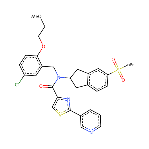 CCCS(=O)(=O)c1ccc2c(c1)CC(N(Cc1cc(Cl)ccc1OCCOC)C(=O)c1csc(-c3cccnc3)n1)C2